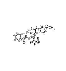 COc1cccc(CN2CCC3(CC2)CCN(C(=O)c2ccccc2)CC3OC(=O)C(F)(F)F)c1